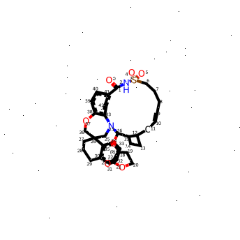 O=C1NS(=O)(=O)CCCC=CCC2CCC2C(O[C@@H]2CCOC2=O)N2CC3(CCCc4ccccc43)COc3ccc1cc32